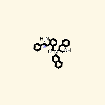 Nc1cccc(C(=O)N(c2ccc3ccccc3c2)C(CO)Cc2ccccc2)c1/C=C/c1ccccc1